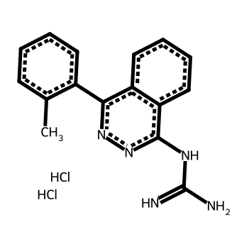 Cc1ccccc1-c1nnc(NC(=N)N)c2ccccc12.Cl.Cl